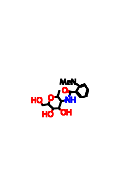 CNc1ccccc1C(=O)NC1C(C)OC(CO)C(O)C1O